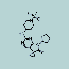 CS(=O)(=O)N1CCC(Nc2ncc3c(n2)N(C2CCCC2)C(=O)C32CC2)CC1